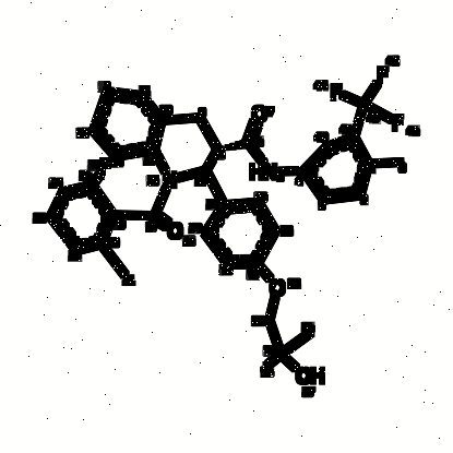 Cc1ccc(NC(=O)[C@H]2Cc3ccccc3N(C(=O)c3c(C)cccc3F)C2c2ccc(OCC(C)(C)O)cc2)cc1C(F)(F)F